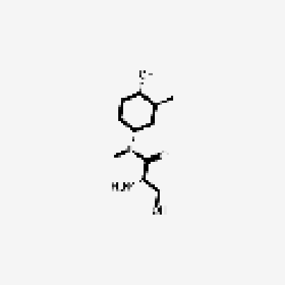 C[C@H]1C[C@H](N(C)C(=O)[C@@H](N)CO)CC[C@@H]1O